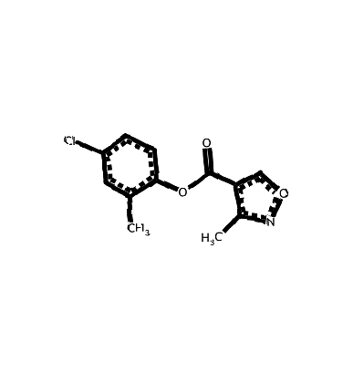 Cc1cc(Cl)ccc1OC(=O)c1conc1C